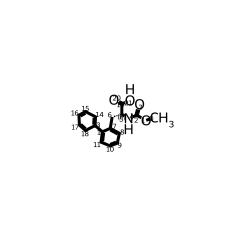 COC(=O)N[C@H](Cc1ccccc1-c1ccccc1)C(=O)O